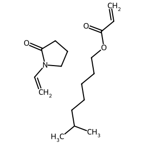 C=CC(=O)OCCCCCC(C)C.C=CN1CCCC1=O